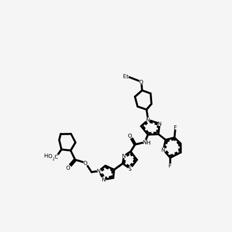 CCOC1CCC(n2cc(NC(=O)c3csc(-c4cnn(COC(=O)C5CCCCC5C(=O)O)c4)n3)c(-c3nc(F)ccc3F)n2)CC1